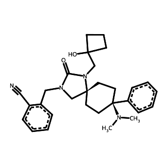 CN(C)[C@]1(c2ccccc2)CC[C@@]2(CC1)CN(Cc1ccccc1C#N)C(=O)N2CC1(O)CCC1